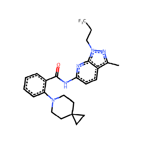 Cc1nn(CCC(F)(F)F)c2nc(NC(=O)c3ccccc3N3CCC4(CC3)CC4)ccc12